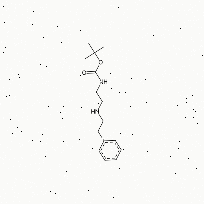 CC(C)(C)OC(=O)NCCNCCc1ccccc1